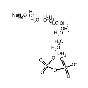 O.O.O.O.O.O.O.O.O.O.O.O.O=S(=O)([O-])OS(=O)(=O)[O-].[Na+].[Na+]